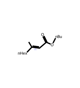 CCCCCC/C(C)=C/C(=O)OCCCC